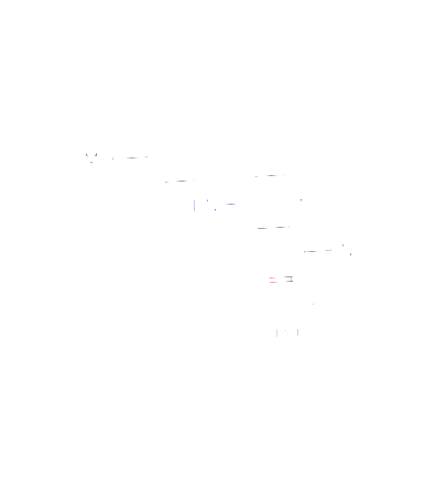 CCC(C)OC(=O)/C(C#N)=C1\C=C(NCCCOC)CCC1